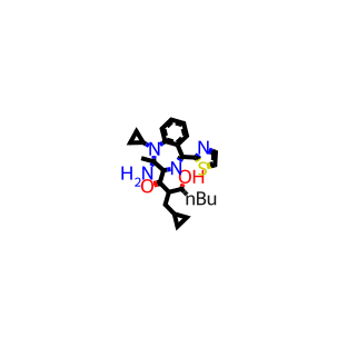 CCCCC(O)C(CC1CC1)C(=O)C1N=C(c2nccs2)c2ccccc2N(C2CC2)C1(C)N